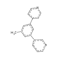 Cc1cc(-c2ccncc2)cc(-c2cccnc2)c1